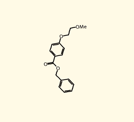 COCCOc1ccc(C(=O)OCc2ccccc2)cc1